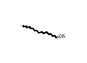 [C]=CC=CC=CCCCCCCCCCCCCCCCCCCCCCC